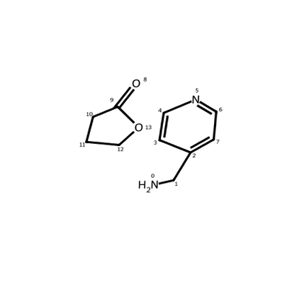 NCc1ccncc1.O=C1CCCO1